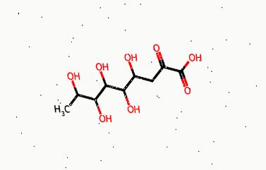 CC(O)C(O)C(O)C(O)C(O)CC(=O)C(=O)O